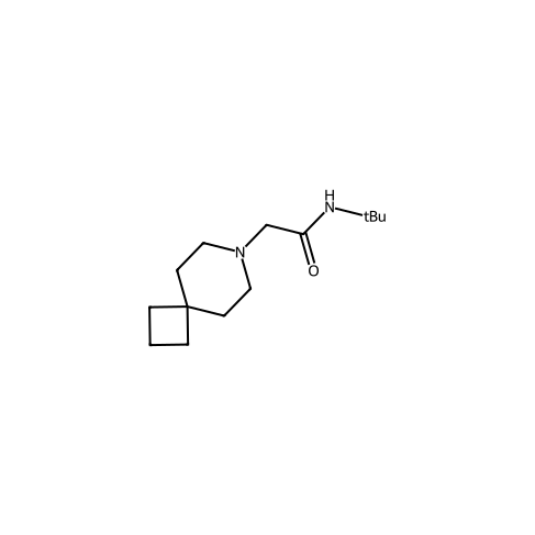 CC(C)(C)NC(=O)CN1CCC2(CCC2)CC1